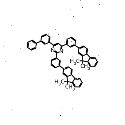 CC1(C)c2ccccc2-c2ccc(-c3cccc(-c4cc(-c5cccc(-c6ccccc6)c5)nc(-c5cccc(-c6ccc7c(c6)C(C)(C)c6ccccc6-7)c5)n4)c3)cc21